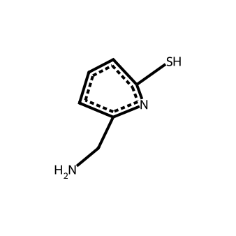 NCc1cccc(S)n1